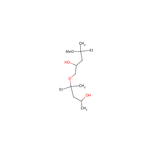 CCC(C)(CC(O)COC(C)(CC)CC(C)O)OC